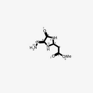 COC(=O)CC1NC(=O)C(=NN)N1